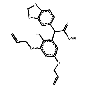 C=CCOc1cc(OCC=C)c(CC)c(C(C(=O)OC)c2ccc3c(c2)OCO3)c1